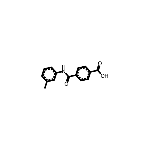 Cc1cccc(NC(=O)c2ccc(C(=O)O)cc2)c1